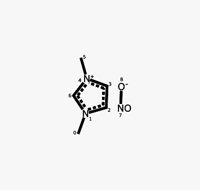 Cn1cc[n+](C)c1.O=N[O-]